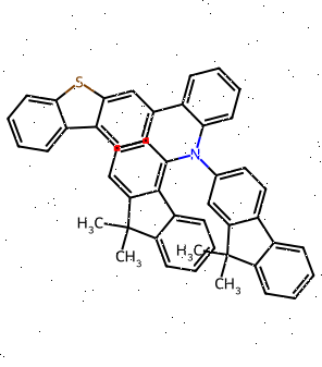 CC1(C)c2ccccc2-c2ccc(N(c3ccccc3-c3ccc4c(c3)sc3ccccc34)c3cccc4c3-c3ccccc3C4(C)C)cc21